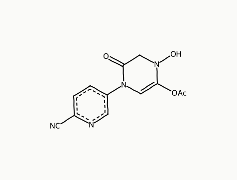 CC(=O)OC1=CN(c2ccc(C#N)nc2)C(=O)CN1O